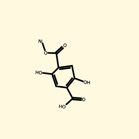 O=C(O)c1cc(O)c(C(=O)[O][Ni])cc1O